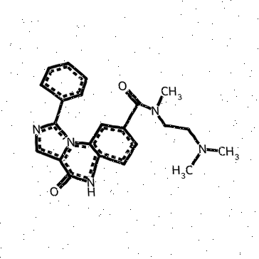 CN(C)CCN(C)C(=O)c1ccc2[nH]c(=O)c3cnc(-c4ccccc4)n3c2c1